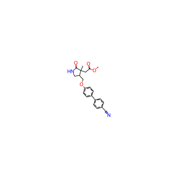 COC(=O)CC1(C)C(=O)NCC1COc1ccc(-c2ccc(C#N)cc2)cc1